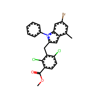 COC(=O)c1ccc(Cl)c(Cc2cc3c(C)cc(Br)cc3n2-c2ccccc2)c1Cl